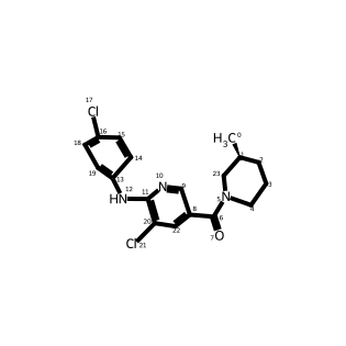 C[C@H]1CCCN(C(=O)c2cnc(Nc3ccc(Cl)cc3)c(Cl)c2)C1